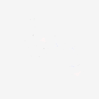 Clc1cc(Cl)cc(C2OC3(CCN(Cc4ccc(N5CCOCC5)cn4)CC3)c3ccccc32)c1